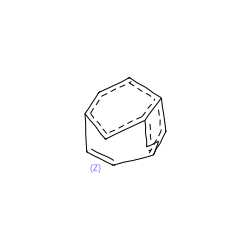 C1=C\c2ccc3cc/1ccc3c2